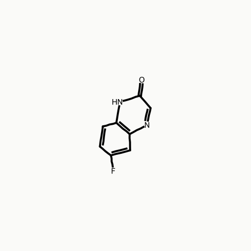 O=c1cnc2cc(F)ccc2[nH]1